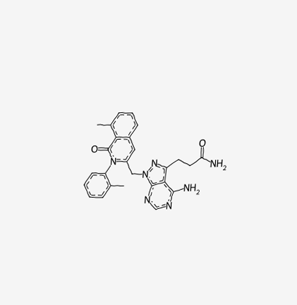 Cc1ccccc1-n1c(Cn2nc(CCC(N)=O)c3c(N)ncnc32)cc2cccc(C)c2c1=O